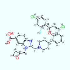 O=C(O)c1ccc2nc(CN3CCC(c4cccc5c4OC(c4ccc(Cl)cc4F)C=C5Cl)CC3)n(C[C@@H]3CCO3)c2c1